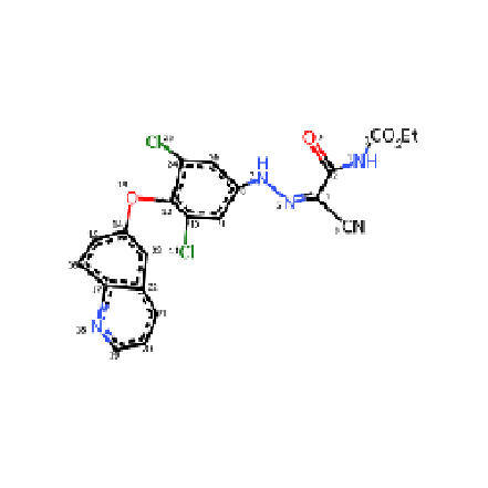 CCOC(=O)NC(=O)C(C#N)=NNc1cc(Cl)c(Oc2ccc3ncccc3c2)c(Cl)c1